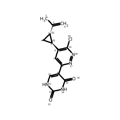 C=C(C)[C@H]1C[C@@H]1c1cc(-c2c[nH]c(=O)[nH]c2=O)nnc1Cl